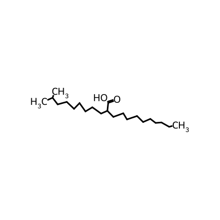 CCCCCCCCCCC(CCCCCCCC(C)C)C(=O)O